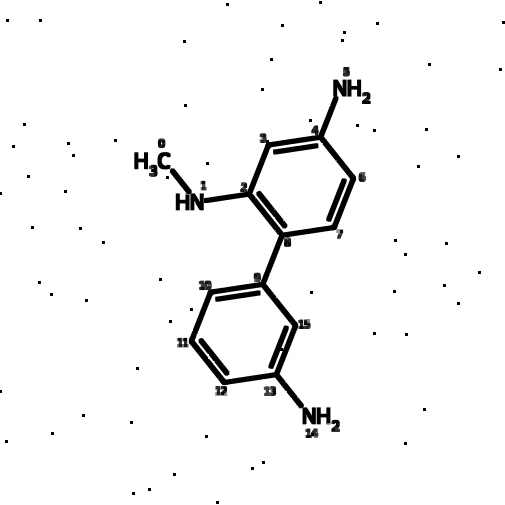 CNc1cc(N)ccc1-c1cccc(N)c1